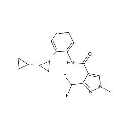 Cn1cc(C(=O)Nc2ccccc2[C@@H]2C[C@@H]2C2CC2)c(C(F)F)n1